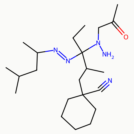 CCC(N=NC(C)CC(C)C)(C(C)CC1(C#N)CCCCC1)N(N)CC(C)=O